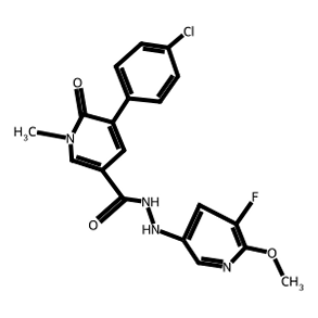 COc1ncc(NNC(=O)c2cc(-c3ccc(Cl)cc3)c(=O)n(C)c2)cc1F